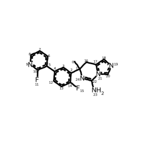 CC1(c2cc(-c3cccnc3F)ccc2F)Cc2cncn2C(N)=N1